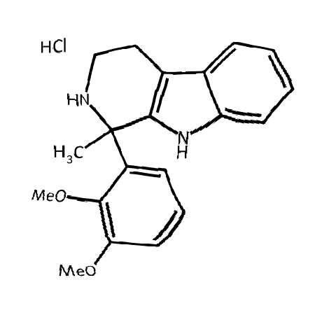 COc1cccc(C2(C)NCCc3c2[nH]c2ccccc32)c1OC.Cl